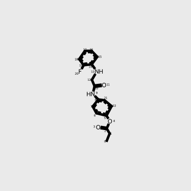 CCC(=O)Oc1ccc(NC(=O)CNc2ccccc2F)cc1